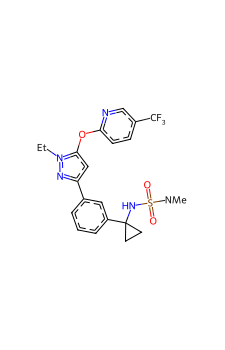 CCn1nc(-c2cccc(C3(NS(=O)(=O)NC)CC3)c2)cc1Oc1ccc(C(F)(F)F)cn1